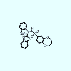 COc1ccccc1[C@H](NS(=O)(=O)c1ccc2c(c1)OCCCO2)c1nc2ccccc2s1